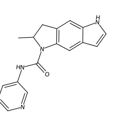 CC1Cc2cc3[nH]ccc3cc2N1C(=O)Nc1cccnc1